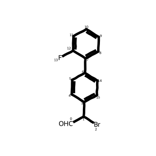 O=CC(Br)c1ccc(-c2ccccc2F)cc1